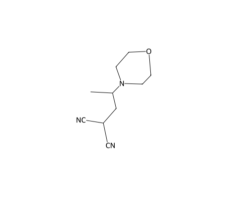 CC(CC(C#N)C#N)N1CCOCC1